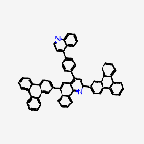 c1ccc2c(-c3ccc(-c4cc(-c5ccc6c7ccccc7c7ccccc7c6c5)nc5c4cc(-c4ccc6c7ccccc7c7ccccc7c6c4)c4ccccc45)cc3)ccnc2c1